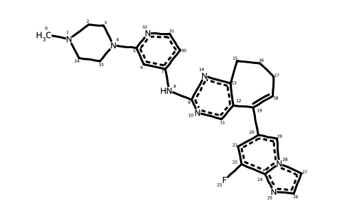 CN1CCN(c2cc(Nc3ncc4c(n3)CCCC=C4c3cc(F)c4nccn4c3)ccn2)CC1